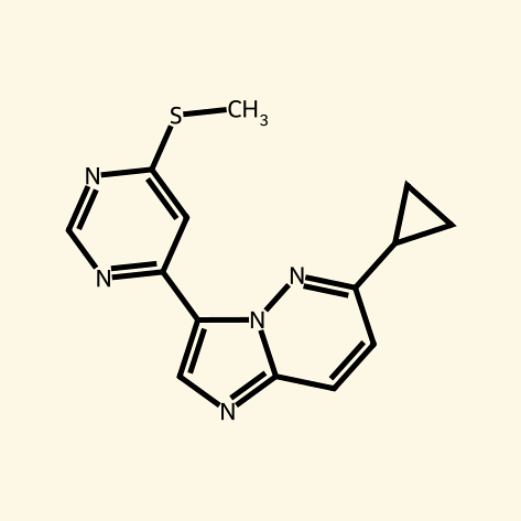 CSc1cc(-c2cnc3ccc(C4CC4)nn23)ncn1